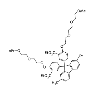 CCCOCCOCCOOc1ccc(C2(c3ccc(OCCOCCOCCOC)c(C(=O)OCC)c3)c3cc(C)ccc3-c3ccc(C(C)C)cc32)cc1C(=O)OCC